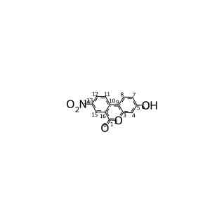 O=c1oc2cc(O)ccc2c2ccc([N+](=O)[O-])cc12